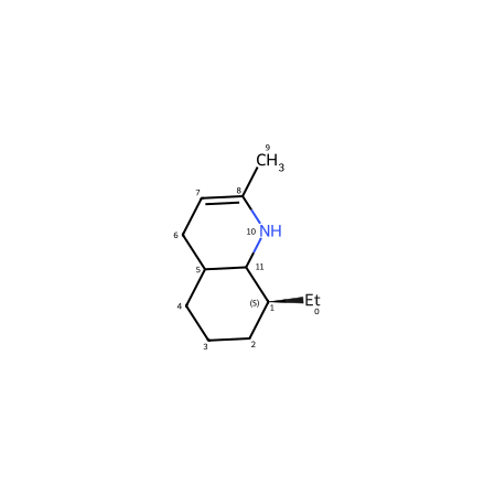 CC[C@H]1CCCC2CC=C(C)NC21